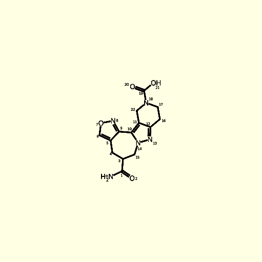 NC(=O)C1Cc2conc2-c2c3c(nn2C1)CCN(C(=O)O)C3